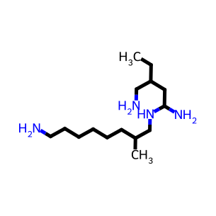 CCC(CN)CC(N)NCC(C)CCCCCCN